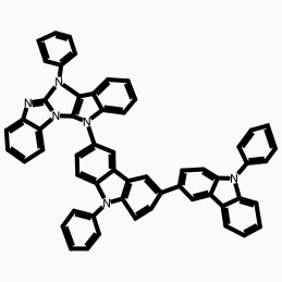 c1ccc(-n2c3ccccc3c3cc(-c4ccc5c(c4)c4cc(-n6c7ccccc7c7c6n6c8ccccc8nc6n7-c6ccccc6)ccc4n5-c4ccccc4)ccc32)cc1